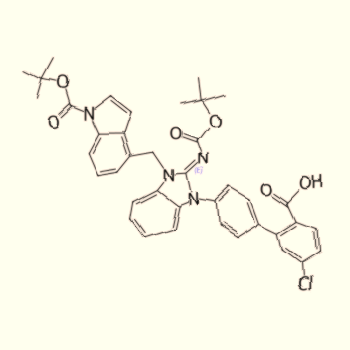 CC(C)(C)OC(=O)/N=c1\n(Cc2cccc3c2ccn3C(=O)OC(C)(C)C)c2ccccc2n1-c1ccc(-c2cc(Cl)ccc2C(=O)O)cc1